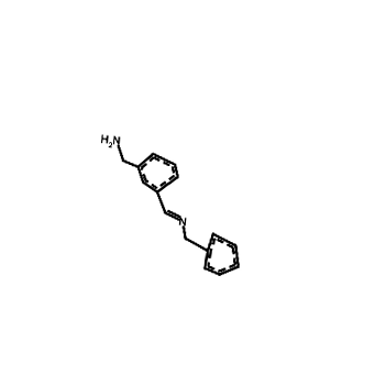 NCc1cccc(/C=N/Cc2ccccc2)c1